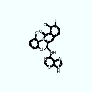 C[C@H](Nc1ncnc2[nH]cnc12)c1cc2ccc(F)c(Cl)c2c(=O)n1-c1c(Cl)cccc1Cl